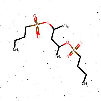 CCCCS(=O)(=O)OC(C)CC(C)OS(=O)(=O)CCCC